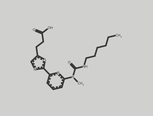 CCCCCCNC(=O)N(C)c1cccc(-c2ncc(CCC(=O)O)s2)n1